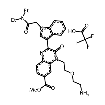 CCN(CC)C(=O)Cn1cc(-c2nc3ccc(C(=O)OC)cc3n(CCOCCN)c2=O)c2ccccc21.O=C(O)C(F)(F)F